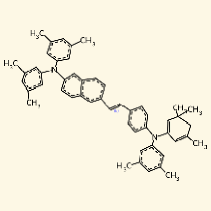 CC1=CC(N(c2ccc(/C=C/c3ccc4cc(N(c5cc(C)cc(C)c5)c5cc(C)cc(C)c5)ccc4c3)cc2)c2cc(C)cc(C)c2)=CC(C)(C)C1